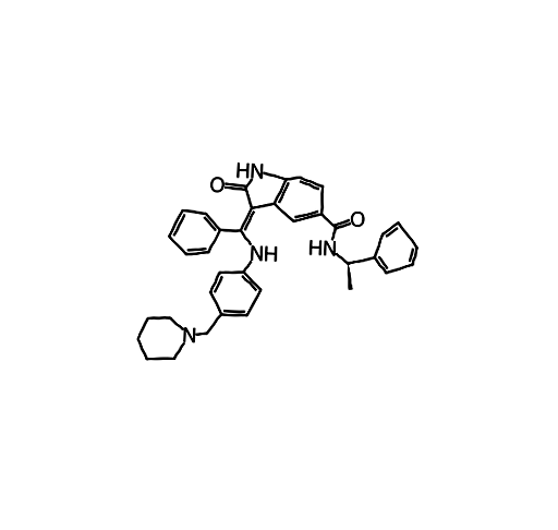 C[C@@H](NC(=O)c1ccc2c(c1)C(=C(Nc1ccc(CN3CCCCC3)cc1)c1ccccc1)C(=O)N2)c1ccccc1